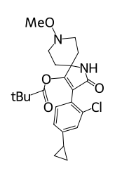 CON1CCC2(CC1)NC(=O)C(c1ccc(C3CC3)cc1Cl)=C2OC(=O)C(C)(C)C